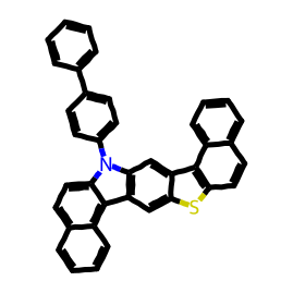 c1ccc(-c2ccc(-n3c4cc5c(cc4c4c6ccccc6ccc43)sc3ccc4ccccc4c35)cc2)cc1